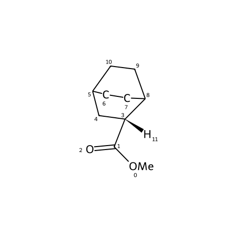 COC(=O)[C@@H]1CC2CCC1CC2